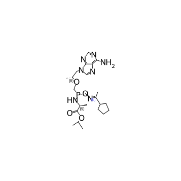 C/C(=N\OP(CO[C@H](C)Cn1cnc2c(N)ncnc21)N[C@@H](C)C(=O)OC(C)C)C1CCCC1